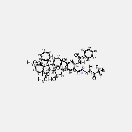 COc1ccccc1C(c1ccccc1)(c1ccccc1OC)C(O)[C@H]1O[C@@H](n2cc(/C=C/CNC(=O)C(F)(F)F)c(NC(=O)c3ccccc3)nc2=O)C[C@@H]1O